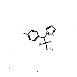 CC(F)(F)C(c1ccc(F)cc1)n1cccn1